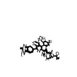 C=CC(=O)N1C[C@H](C)n2nc(-c3nc(-c4ccc5c(c4)nc(C)n5C)c4scc(F)c4c3-c3c(F)cc(F)cc3CO)cc2[C@H]1C